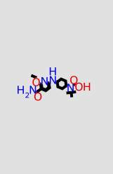 CCOc1nc(NC2CCC(N(C(=O)O)C(C)(C)C)CC2)ccc1C(N)=O